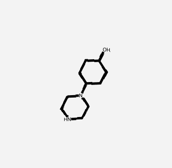 OC1CCC(N2CCNCC2)CC1